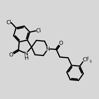 O=C1NC2(CCN(C(=O)CCc3ccccc3C(F)(F)F)CC2)c2c(Cl)cc(Cl)cc21